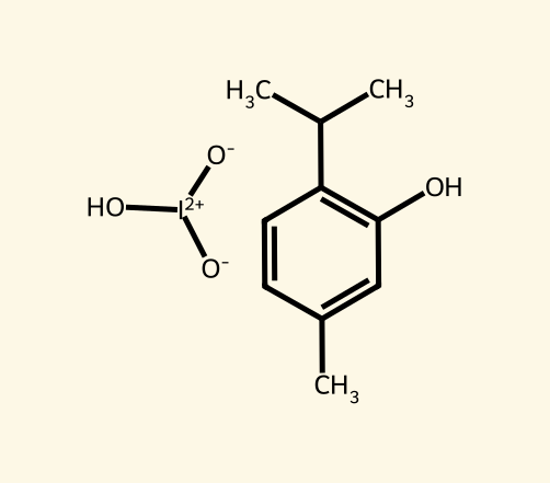 Cc1ccc(C(C)C)c(O)c1.[O-][I+2]([O-])O